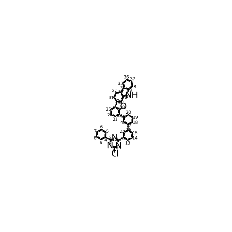 Clc1nc(-c2ccccc2)nc(-c2cccc(-c3cccc(-c4cccc5c4oc4c5ccc5c6ccccc6[nH]c54)c3)c2)n1